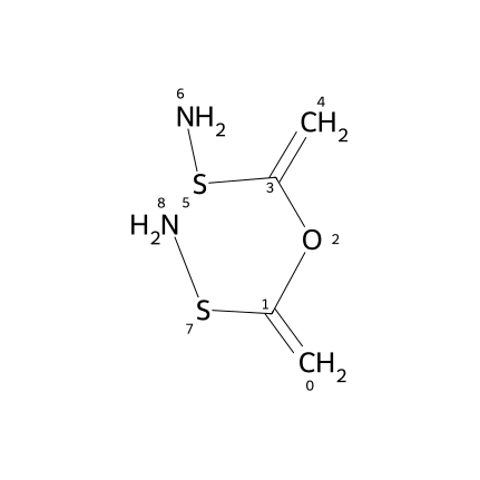 C=C(OC(=C)SN)SN